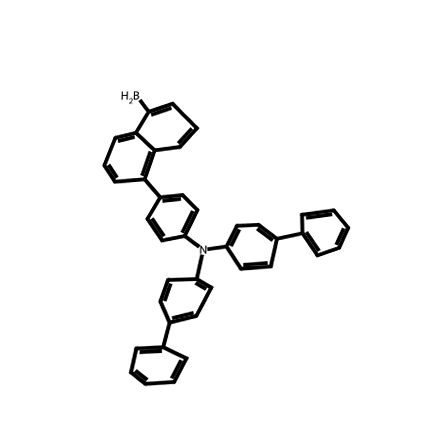 Bc1cccc2c(-c3ccc(N(c4ccc(-c5ccccc5)cc4)c4ccc(-c5ccccc5)cc4)cc3)cccc12